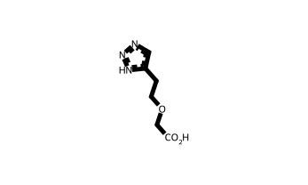 O=C(O)COCCc1cnn[nH]1